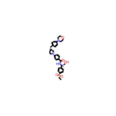 CCS(=O)(=O)c1ccc([C@H](CO)NC(=O)c2ccc(N3CC[C@H](Cc4ccc(N5CCOCC5)cc4)C3)cc2)cc1